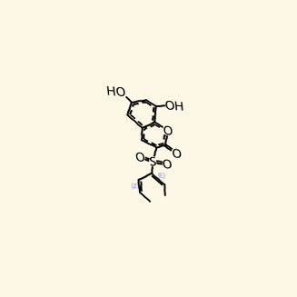 C/C=C\C(=C/C)S(=O)(=O)c1cc2cc(O)cc(O)c2oc1=O